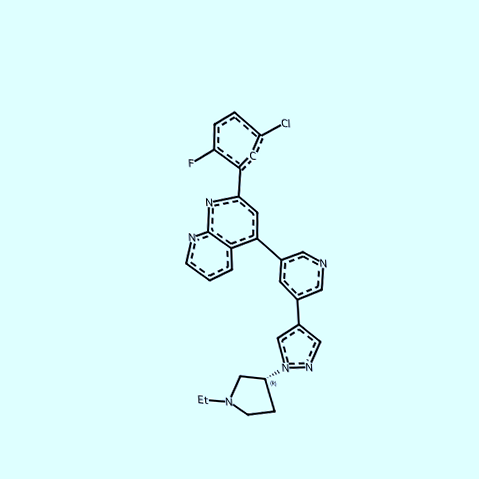 CCN1CC[C@@H](n2cc(-c3cncc(-c4cc(-c5cc(Cl)ccc5F)nc5ncccc45)c3)cn2)C1